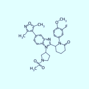 COc1ccc(N2C(=O)CCCC2c2nc3cc(-c4c(C)noc4C)ccc3n2C2CCN(S(C)(=O)=O)C2)cc1F